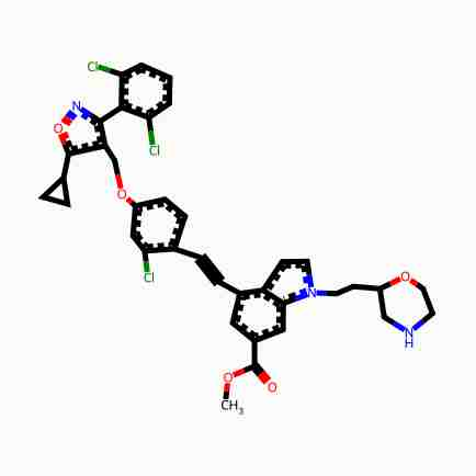 COC(=O)c1cc(C#Cc2ccc(OCc3c(-c4c(Cl)cccc4Cl)noc3C3CC3)cc2Cl)c2ccn(CCC3CNCCO3)c2c1